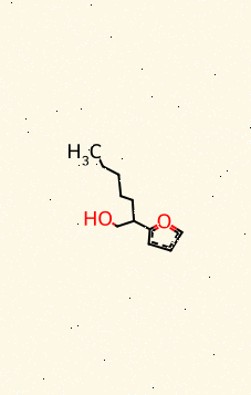 CCCCCC(CO)c1ccco1